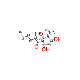 C=C(C)c1c(O)cc(O)c(C(=O)CCCCC)c1O